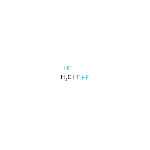 C.F.F.F